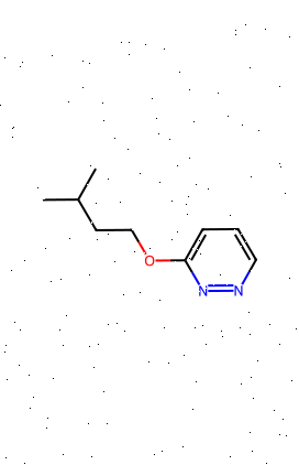 CC(C)CCOc1cccnn1